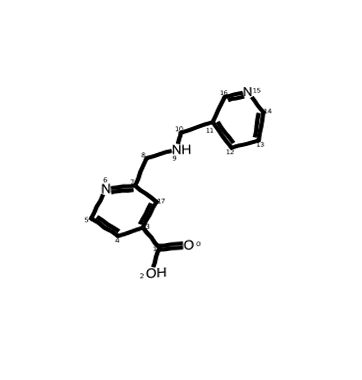 O=C(O)c1ccnc(CNCc2cccnc2)c1